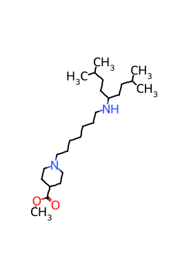 COC(=O)C1CCN(CCCCCCCNC(CCC(C)C)CCC(C)C)CC1